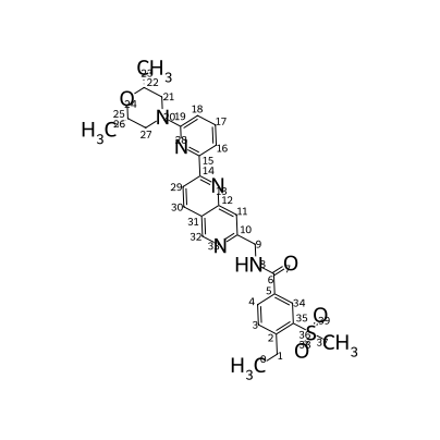 CCc1ccc(C(=O)NCc2cc3nc(-c4cccc(N5C[C@@H](C)O[C@@H](C)C5)n4)ccc3cn2)cc1S(C)(=O)=O